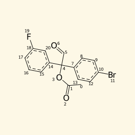 CC(=O)OC(C=O)(c1ccc(Br)cc1)c1cccc(F)c1